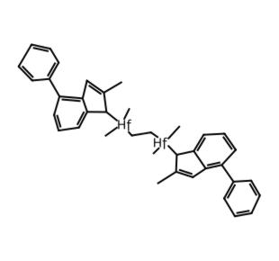 CC1=Cc2c(-c3ccccc3)cccc2[CH]1[Hf]([CH3])([CH3])[CH2][CH2][Hf]([CH3])([CH3])[CH]1C(C)=Cc2c(-c3ccccc3)cccc21